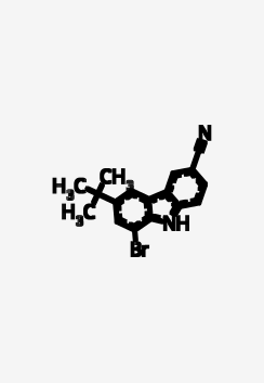 CC(C)(C)c1cc(Br)c2[nH]c3ccc(C#N)cc3c2c1